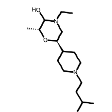 CCN1C[C@@H](C2CCN(CCC(C)C)CC2)O[C@H](C)C1O